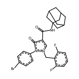 O=C(NC12CC3CC(CC(C3)C1)C2)c1cn(Cc2c(F)cccc2F)n(-c2ccc(Br)cc2)c1=O